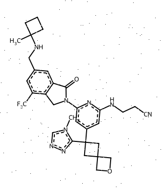 Cn1cnnc1C1(c2cc(NCCC#N)nc(N3Cc4c(cc(CNC5(C)CCC5)cc4C(F)(F)F)C3=O)c2)CC2(COC2)C1